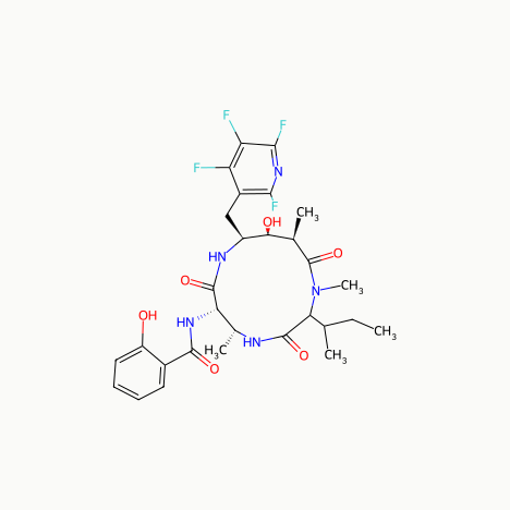 CCC(C)C1C(=O)N[C@H](C)[C@H](NC(=O)c2ccccc2O)C(=O)N[C@@H](Cc2c(F)nc(F)c(F)c2F)[C@@H](O)[C@@H](C)C(=O)N1C